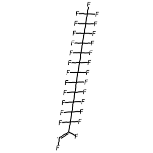 F/[C]=C(\F)C(F)(F)C(F)(F)C(F)(F)C(F)(F)C(F)(F)C(F)(F)C(F)(F)C(F)(F)C(F)(F)C(F)(F)C(F)(F)C(F)(F)F